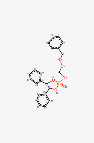 O=P(OCOOCc1ccccc1)(OCc1ccccc1)OCc1ccccc1